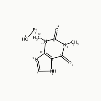 CCO.Cn1c(=O)c2[nH]cnc2n(C)c1=O